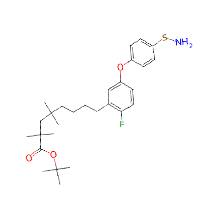 CC(C)(CCCCc1cc(Oc2ccc(SN)cc2)ccc1F)CC(C)(C)C(=O)OC(C)(C)C